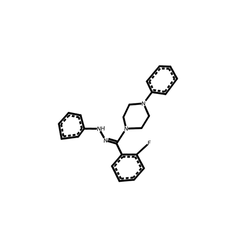 Fc1ccccc1C(=NNc1ccccc1)N1CCN(c2ccccc2)CC1